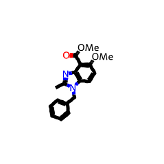 COC(=O)c1c(OC)ccc2c1nc(C)n2Cc1ccccc1